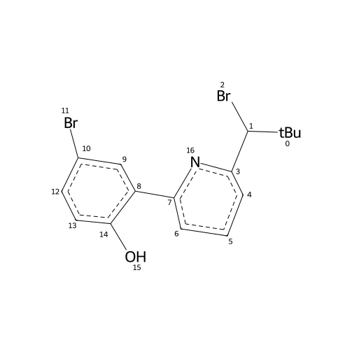 CC(C)(C)C(Br)c1cccc(-c2cc(Br)ccc2O)n1